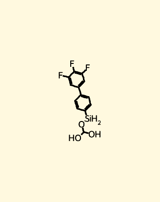 OC(O)O[SiH2]c1ccc(-c2cc(F)c(F)c(F)c2)cc1